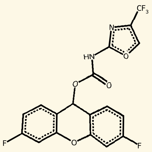 O=C(Nc1nc(C(F)(F)F)co1)OC1c2ccc(F)cc2Oc2cc(F)ccc21